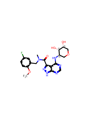 CN(Cc1cc(F)ccc1OC(F)(F)F)C(=O)c1n[nH]c2ncnc(N[C@@H]3COC[C@@H](O)[C@H]3O)c12